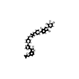 CC1(Cc2ccc3n[nH]c(-c4cc(N5CCC(CN6CC(F)(CC7CCN(c8ccc9c(c8F)CN(C8CCC(=O)NC8=O)C9=O)CC7)C6)CC5)ncn4)c3c2)CC1